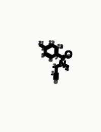 C#CCN(C)C(=O)c1ccc(C)cc1